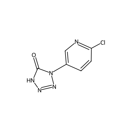 O=c1[nH]nnn1-c1ccc(Cl)nc1